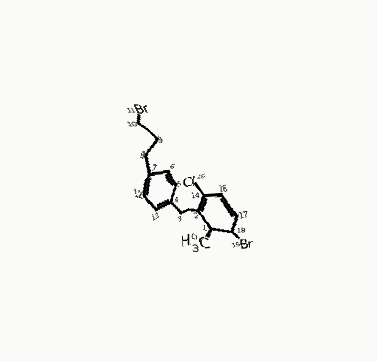 CC1C(Cc2ccc(CCCBr)cc2)=C(Cl)C=CC1Br